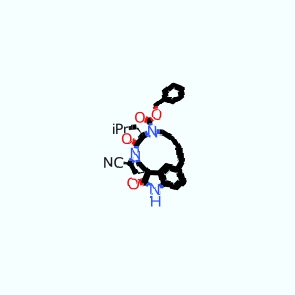 CC(C)C[C@H]1C(=O)N2C[C@]3(C[C@H]2C#N)C(=O)Nc2ccc(cc23)/C=C\CCN1C(=O)OCc1ccccc1